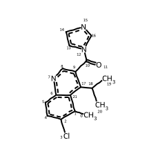 Cc1c(Cl)ccc2ncc(C(=O)n3ccnc3)c(C(C)C)c12